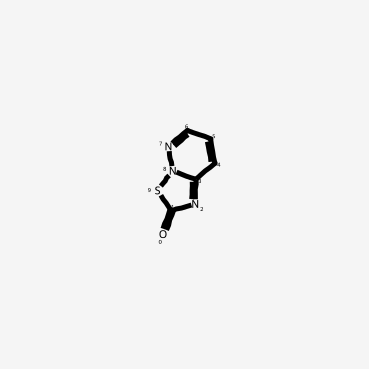 O=c1nc2cccnn2s1